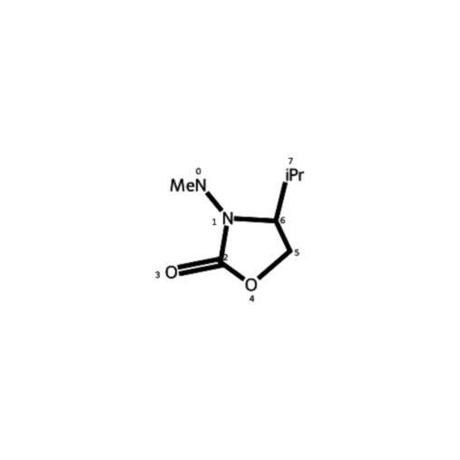 CNN1C(=O)OCC1C(C)C